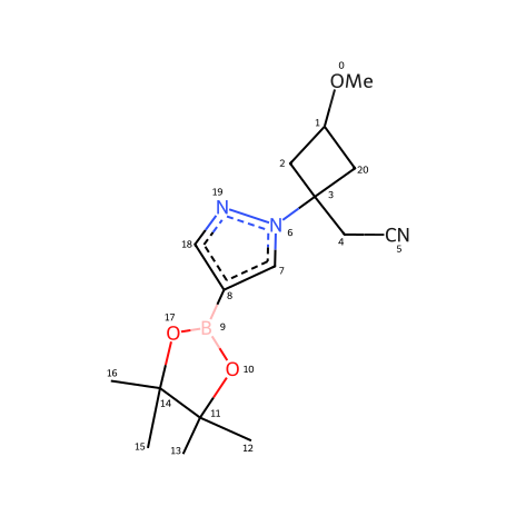 COC1CC(CC#N)(n2cc(B3OC(C)(C)C(C)(C)O3)cn2)C1